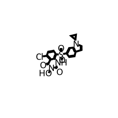 O=c1[nH]c2c(S(=O)(=O)c3ccc4ccn(C5CC5)c4c3)ccc(Cl)c2c(=O)n1O